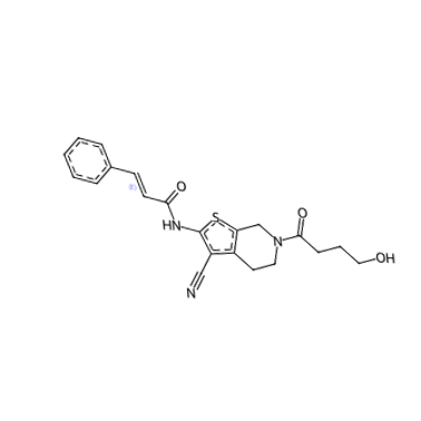 N#Cc1c(NC(=O)/C=C/c2ccccc2)sc2c1CCN(C(=O)CCCO)C2